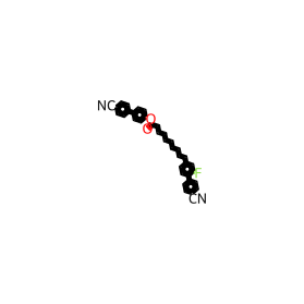 N#Cc1ccc(-c2ccc(OC(=O)CCCCCCCCCc3ccc(-c4ccc(C#N)cc4)c(F)c3)cc2)cc1